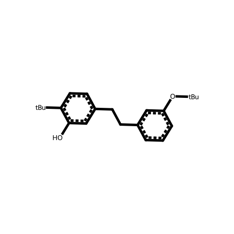 CC(C)(C)Oc1cccc(CCc2ccc(C(C)(C)C)c(O)c2)c1